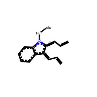 C=C/C=c1\c(=C/C=C)n(BC(C)(C)C)c2ccccc12